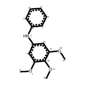 COc1cc(Nc2c[c]ccc2)cc(OC)c1OC